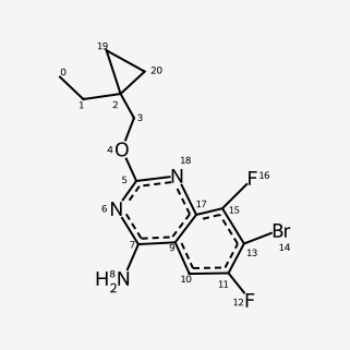 CCC1(COc2nc(N)c3cc(F)c(Br)c(F)c3n2)CC1